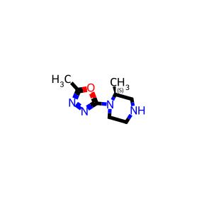 Cc1nnc(N2CCNC[C@@H]2C)o1